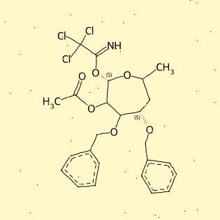 CC(=O)OC1C(OCc2ccccc2)[C@@H](OCc2ccccc2)CC(C)O[C@H]1OC(=N)C(Cl)(Cl)Cl